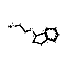 OCCOC1CCc2ccccc21